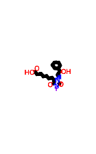 O=C(O)CCCCCCC1C(=O)N(I)C(=O)N1N=CC(O)C1CCCCC1